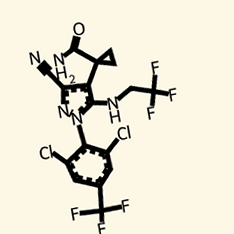 N#Cc1nn(-c2c(Cl)cc(C(F)(F)F)cc2Cl)c(NCC(F)(F)F)c1C1(C(N)=O)CC1